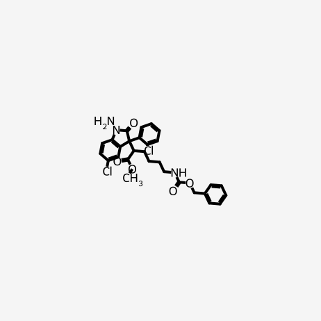 COC(=O)C(CCCCNC(=O)OCc1ccccc1)C1(c2ccccc2Cl)C(=O)N(N)c2ccc(Cl)cc21